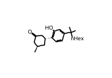 CCCCCCC(C)(C)c1ccc([C@H]2CC(=O)C[C@H](C)C2)c(O)c1